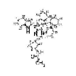 C=CC(=O)Nc1cccc(-c2cnc3c(n2)c(-c2cc4ccccc4[nH]2)nn3C(c2ccccc2)(c2ccccc2)c2ccccc2)c1